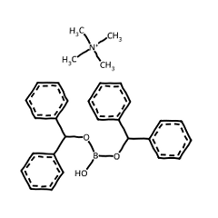 C[N+](C)(C)C.OB(OC(c1ccccc1)c1ccccc1)OC(c1ccccc1)c1ccccc1